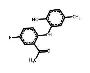 CC(=O)c1cc(F)ccc1Pc1cc(C)ccc1O